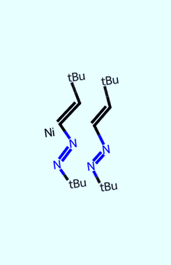 CC(C)(C)C=CN=NC(C)(C)C.CC(C)(C)C=CN=NC(C)(C)C.[Ni]